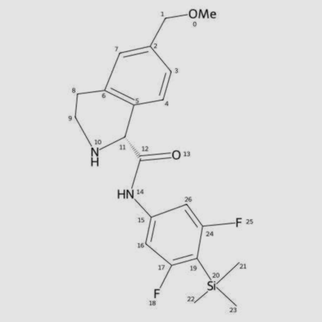 COCc1ccc2c(c1)CCN[C@H]2C(=O)Nc1cc(F)c([Si](C)(C)C)c(F)c1